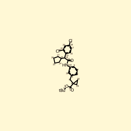 CC(C)(C)OC(=O)C1(Cc2cccc(NC(=O)C(c3ccc(Cl)cc3Cl)C3CCCC3)c2)CC1